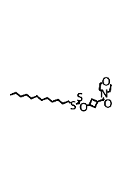 CCCCCCCCCCCCSC(=S)OC1CC(C(=O)N2CCOCC2)C1